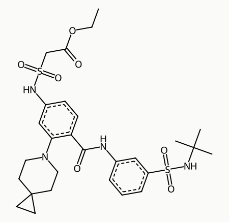 CCOC(=O)CS(=O)(=O)Nc1ccc(C(=O)Nc2cccc(S(=O)(=O)NC(C)(C)C)c2)c(N2CCC3(CC2)CC3)c1